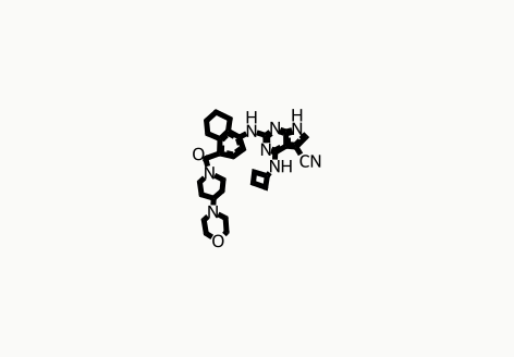 N#Cc1c[nH]c2nc(Nc3ccc(C(=O)N4CCC(N5CCOCC5)CC4)c4c3CCCC4)nc(NC3CCC3)c12